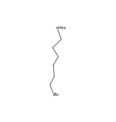 C[CH]C(C)CCCCCCCCCCCC